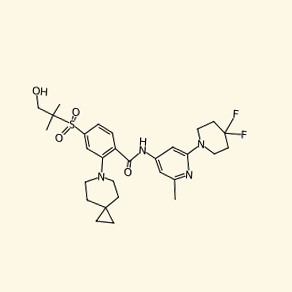 Cc1cc(NC(=O)c2ccc(S(=O)(=O)C(C)(C)CO)cc2N2CCC3(CC2)CC3)cc(N2CCC(F)(F)CC2)n1